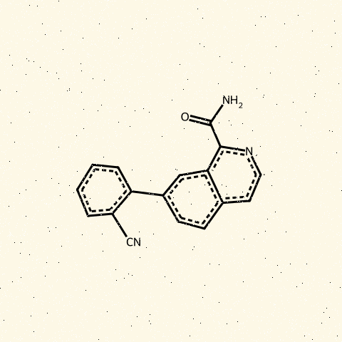 N#Cc1ccccc1-c1ccc2c[c]nc(C(N)=O)c2c1